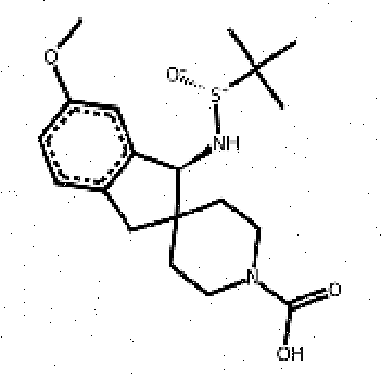 COc1ccc2c(c1)[C@@H](N[S@+]([O-])C(C)(C)C)C1(CCN(C(=O)O)CC1)C2